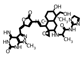 CC(NC1CC2[C@](C)(CC[C@@H](O)[C@@]2(C)CO)C(/C=C/C2=CC(=C\c3nn(C)c4[nH]c(=O)[nH]c(=N)c34)/OC2=O)C12CO2)C(=O)NC1=NCC=N1